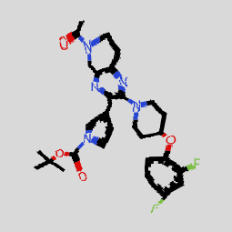 CC(=O)N1CCc2nc(N3CCC(Oc4ccc(F)cc4F)CC3)c(-c3ccn(C(=O)OC(C)(C)C)c3)nc2C1